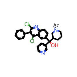 CC(=O)N1CCCC(C(O)(c2cccnc2)c2ccc3nc(Cl)c(-c4ccccc4)c(Cl)c3c2)C1